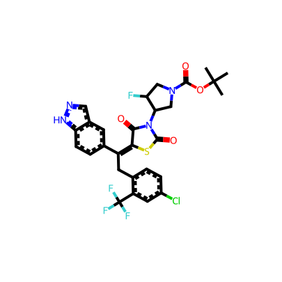 CC(C)(C)OC(=O)N1CC(F)C(N2C(=O)SC(=C(Cc3ccc(Cl)cc3C(F)(F)F)c3ccc4[nH]ncc4c3)C2=O)C1